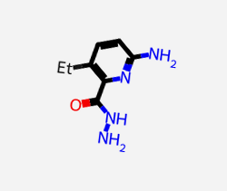 CCc1ccc(N)nc1C(=O)NN